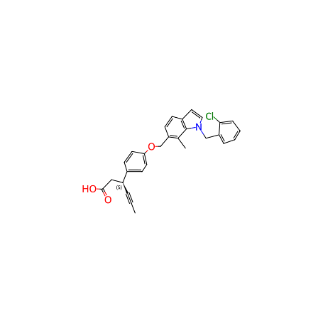 CC#C[C@@H](CC(=O)O)c1ccc(OCc2ccc3ccn(Cc4ccccc4Cl)c3c2C)cc1